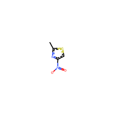 Cc1nc([N+](=O)[O-])cs1